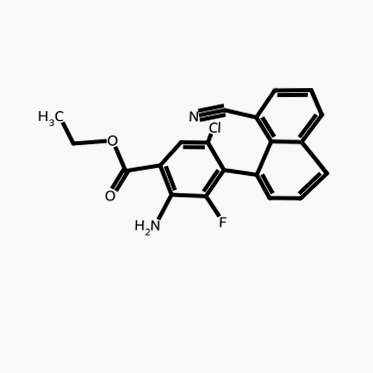 CCOC(=O)c1cc(Cl)c(-c2cccc3cccc(C#N)c23)c(F)c1N